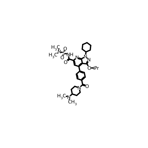 CC(C)Oc1nn(C2CCCCC2)c2nc(C(=O)NS(=O)(=O)N(C)C)cc(-c3ccc(C(=O)N4CCC(N(C)C)CC4)cc3)c12